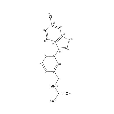 O=C(O)NCc1cccc(-c2coc3cc(Cl)cnc23)c1